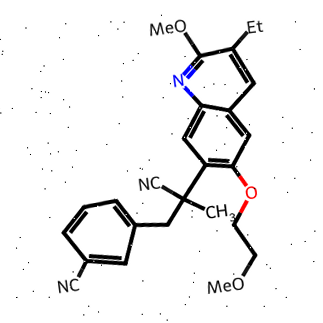 CCc1cc2cc(OCCOC)c(C(C)(C#N)Cc3cccc(C#N)c3)cc2nc1OC